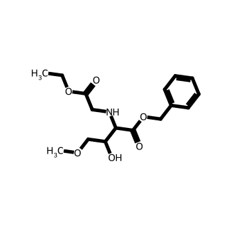 CCOC(=O)CNC(C(=O)OCc1ccccc1)C(O)COC